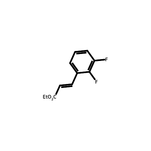 CCOC(=O)C=Cc1cccc(F)c1F